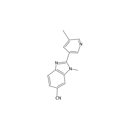 Cc1cncc(-c2nc3ccc(C#N)cc3n2C)c1